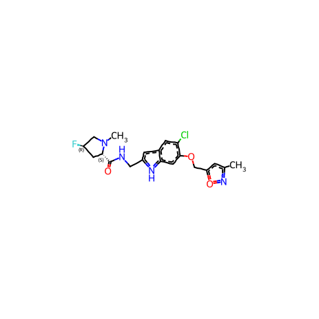 Cc1cc(COc2cc3[nH]c(CNC(=O)[C@@H]4C[C@@H](F)CN4C)cc3cc2Cl)on1